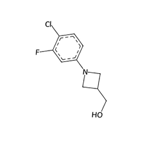 OCC1CN(c2ccc(Cl)c(F)c2)C1